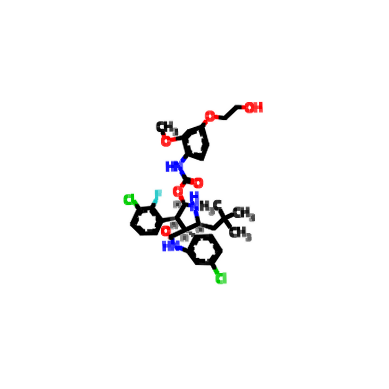 COc1cc(OCCO)ccc1NC(=O)O[C@H]1N[C@@H](CC(C)(C)C)[C@@]2(C(=O)Nc3cc(Cl)ccc32)[C@H]1c1cccc(Cl)c1F